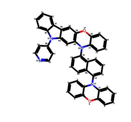 c1ccc2c(c1)Oc1ccccc1N2c1cccc2c(N3c4ccccc4Oc4cc5c6ccccc6n(-c6ccncc6)c5cc43)cccc12